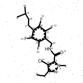 CCc1nn(C)c(C(=O)NCc2c(F)c(F)c(CCC(C)C)c(F)c2F)c1Cl